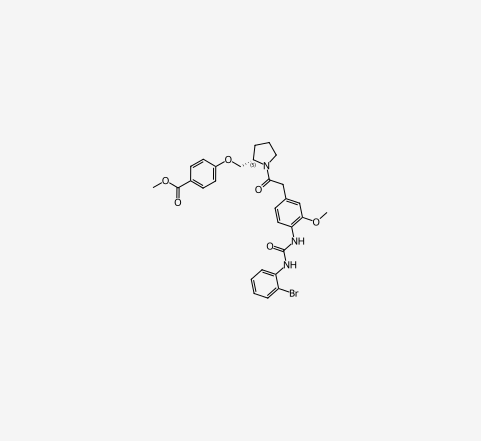 COC(=O)c1ccc(OC[C@@H]2CCCN2C(=O)Cc2ccc(NC(=O)Nc3ccccc3Br)c(OC)c2)cc1